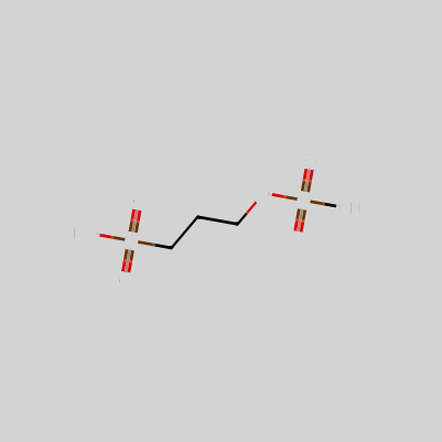 CS(=O)(=O)OCCCS(=O)(=O)O